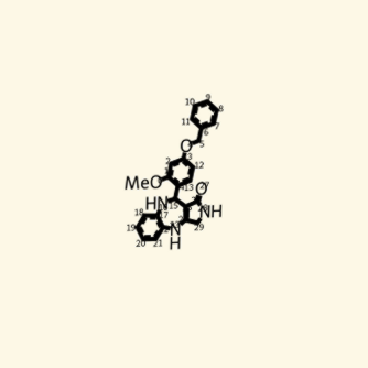 COc1cc(OCc2ccccc2)ccc1C1Nc2ccccc2NC2=C1C(=O)NC2